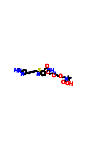 CC(N)=O.CNc1ccc(/C=C/C=C/c2nc3ccc(OCCOCCOCCN(C(=O)O)C(C)(C)C)cc3s2)cn1